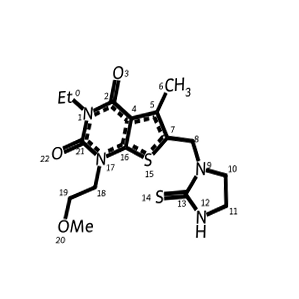 CCn1c(=O)c2c(C)c(CN3CCNC3=S)sc2n(CCOC)c1=O